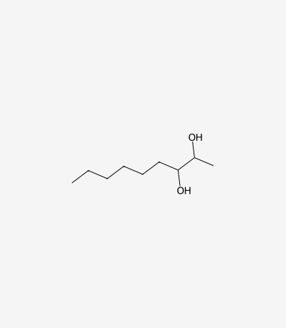 CCCCCCC(O)C(C)O